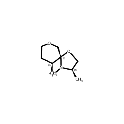 C[C@@H]1CO[C@]2(COCC[C@@H]2C)N1C